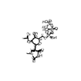 CC(=O)OC1C(c2cn(C)c(=O)[nH]c2=O)OC(COP(=O)(O)OP(=O)(O)OP(=O)(O)O)C1O